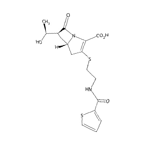 C[C@H](O)[C@H]1C(=O)N2C(C(=O)O)=C(SCCNC(=O)c3cccs3)C[C@H]12